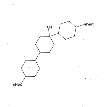 CCCCCCC1CCC(C2CCC(C#N)(C3CCC(CCCCC)CC3)CC2)CC1